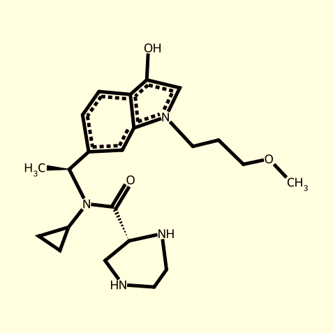 COCCCn1cc(O)c2ccc([C@H](C)N(C(=O)[C@H]3CNCCN3)C3CC3)cc21